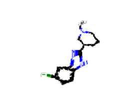 CCCCN1CCCC(c2nc3cc(F)ccc3[nH]2)C1